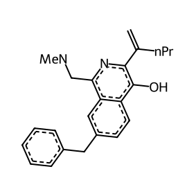 C=C(CCC)c1nc(CNC)c2cc(Cc3ccccc3)ccc2c1O